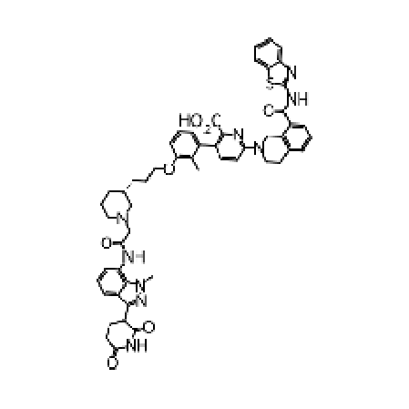 Cc1c(OCCC[C@H]2CCCN(CC(=O)Nc3cccc4c(C5CCC(=O)NC5=O)nn(C)c34)C2)cccc1-c1ccc(N2CCc3cccc(C(=O)Nc4nc5ccccc5s4)c3C2)nc1C(=O)O